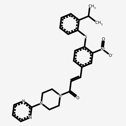 CC(C)c1ccccc1Sc1ccc(C=CC(=O)N2CCN(c3ncccn3)CC2)cc1[N+](=O)[O-]